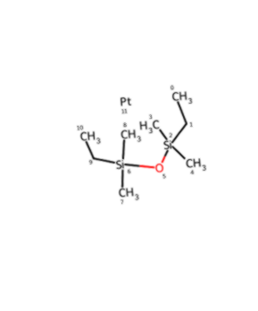 CC[Si](C)(C)O[Si](C)(C)CC.[Pt]